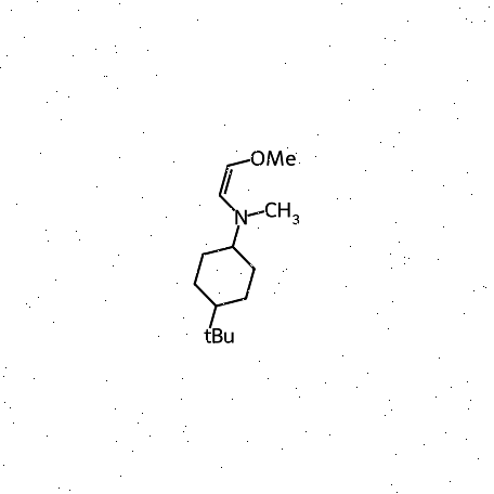 CO/C=C\N(C)C1CCC(C(C)(C)C)CC1